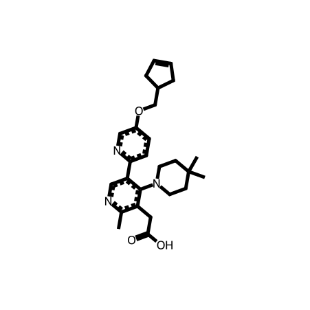 Cc1ncc(-c2ccc(OCC3CC=CC3)cn2)c(N2CCC(C)(C)CC2)c1CC(=O)O